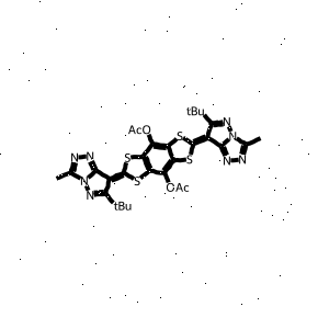 CC(=O)Oc1c2c(c(OC(C)=O)c3c1SC(=c1c(C(C)(C)C)nn4c(C)nnc14)S3)SC(=c1c(C(C)(C)C)nn3c(C)nnc13)S2